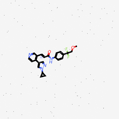 COCC(F)(F)c1ccc(NC(=O)/C=C/c2cnccc2-c2cnn(C3CC3)c2)cc1